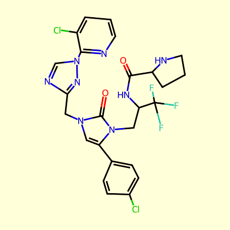 O=C(NC(Cn1c(-c2ccc(Cl)cc2)cn(Cc2ncn(-c3ncccc3Cl)n2)c1=O)C(F)(F)F)C1CCCN1